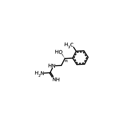 Cc1ccccc1[C@@H](O)CNC(=N)N